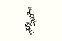 Cc1cc(Nc2ncnc3cnc(N4CCCC4)cc23)ccc1Oc1ccc(C(=O)NCC(C)(C)C)cc1